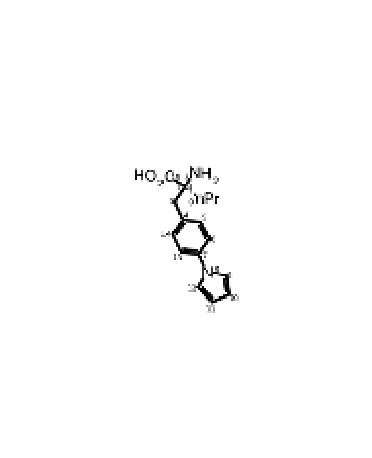 CCC[C@](N)(Cc1ccc(-n2cccc2)cc1)C(=O)O